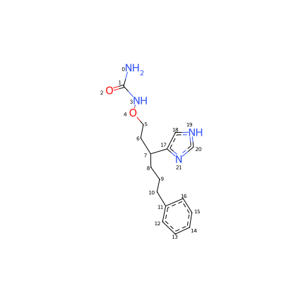 NC(=O)NOCCC(CCCc1ccccc1)c1c[nH]cn1